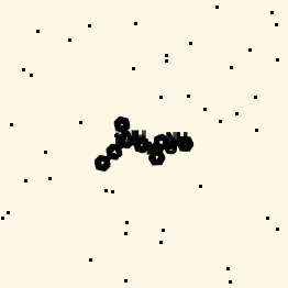 C1=CCC(C2=CCC(C3CC(c4ccc(N5C6C=CC=CC6C6C7=C(CCC65)NC(c5ccccc5)O7)cc4)NC(c4ccccc4)=N3)C=C2)C=C1